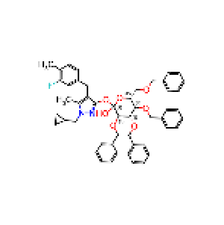 Cc1ccc(Cc2c(O[C@]3(O)O[C@H](COCc4ccccc4)[C@@H](OCc4ccccc4)[C@H](OCc4ccccc4)[C@H]3OCc3ccccc3)nn(CC3CC3)c2C)cc1F